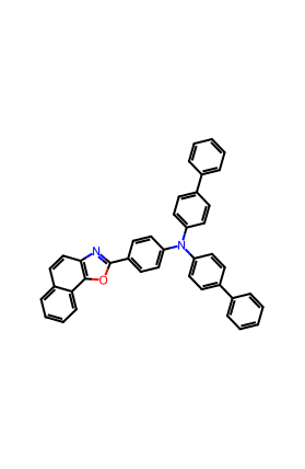 c1ccc(-c2ccc(N(c3ccc(-c4ccccc4)cc3)c3ccc(-c4nc5ccc6ccccc6c5o4)cc3)cc2)cc1